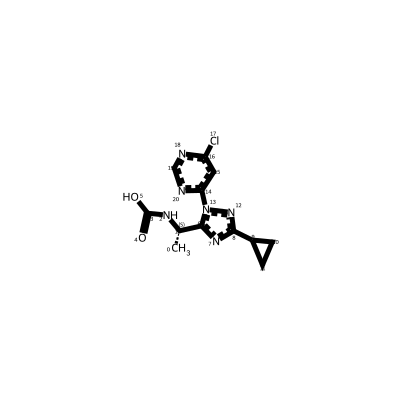 C[C@H](NC(=O)O)c1nc(C2CC2)nn1-c1cc(Cl)ncn1